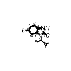 CC(C1CC1)n1c(=O)[nH]c2ccc(Br)cc21